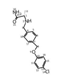 C[C@H](NCc1ccc(COc2ccc(Cl)cc2)cc1)C(N)=O